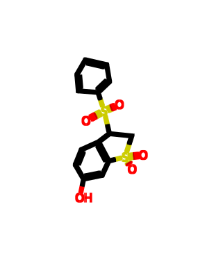 O=S1(=O)CC(S(=O)(=O)c2ccccc2)c2ccc(O)cc21